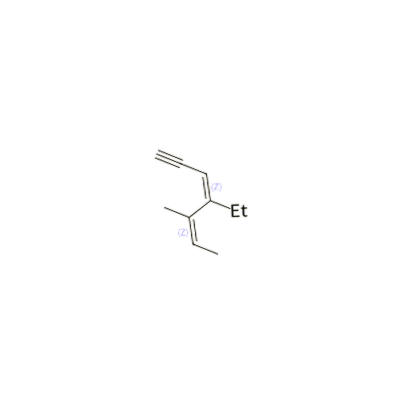 C#C/C=C(CC)\C(C)=C/C